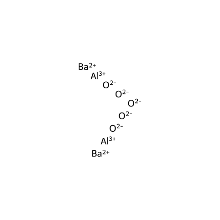 [Al+3].[Al+3].[Ba+2].[Ba+2].[O-2].[O-2].[O-2].[O-2].[O-2]